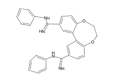 N=C(Nc1ccccc1)c1ccc2c(c1)-c1cc(C(=N)Nc3ccccc3)ccc1OCCO2